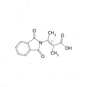 C/C(C(=O)O)=C(/C)N1C(=O)c2ccccc2C1=O